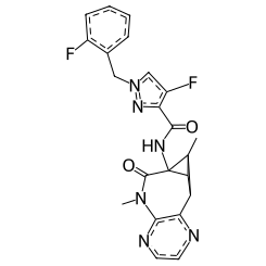 CN1C(=O)C2(NC(=O)c3nn(Cc4ccccc4F)cc3F)C3C(c4nccnc41)C32C